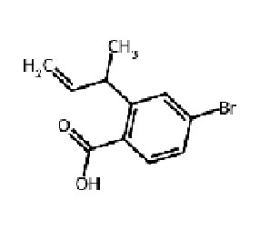 C=CC(C)c1cc(Br)ccc1C(=O)O